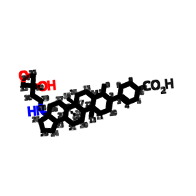 CC1C(C2=CCC(C(=O)O)CC2)=CCC2(C)C1CC[C@]1(C)C2CCC2C3CCCC3(NCCC3(O)COC3)CC[C@]21C